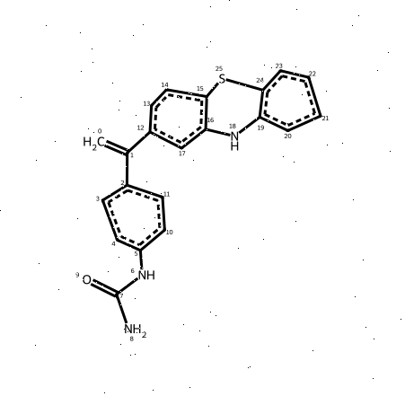 C=C(c1ccc(NC(N)=O)cc1)c1ccc2c(c1)Nc1ccccc1S2